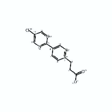 O=C([O-])CC[n+]1ccc(-c2ncc(Cl)cn2)cn1